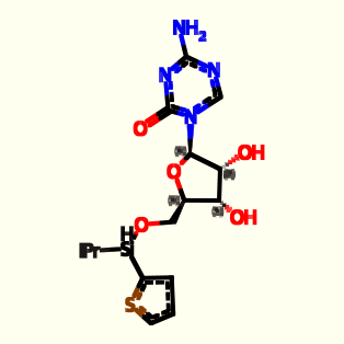 CC(C)[SiH](OC[C@H]1O[C@@H](n2cnc(N)nc2=O)[C@H](O)[C@@H]1O)c1cccs1